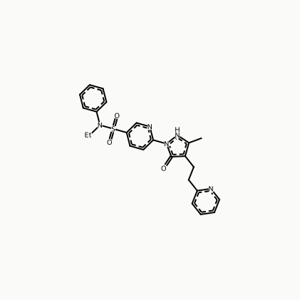 CCN(c1ccccc1)S(=O)(=O)c1ccc(-n2[nH]c(C)c(CCc3ccccn3)c2=O)nc1